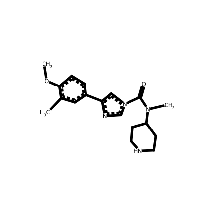 COc1ccc(-c2cn(C(=O)N(C)C3CCNCC3)cn2)cc1C